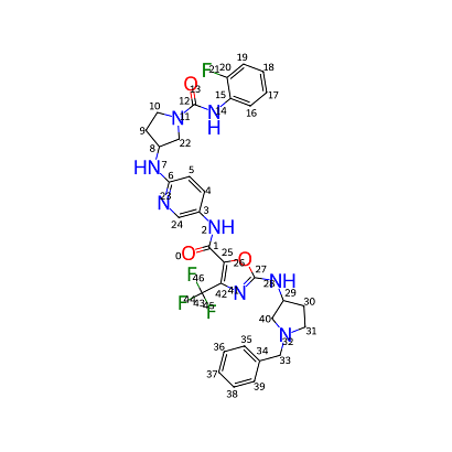 O=C(Nc1ccc(NC2CCN(C(=O)Nc3ccccc3F)C2)nc1)c1oc(NC2CCN(Cc3ccccc3)C2)nc1C(F)(F)F